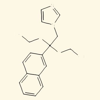 CCSC(Cn1ccnc1)(SCC)c1ccc2ccccc2c1